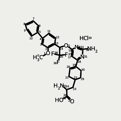 COc1cc(-c2ccccc2)ccc1C(Oc1cc(C2=CCC(CC(N)C(=O)O)CC2)nc(N)n1)C(F)(F)F.Cl